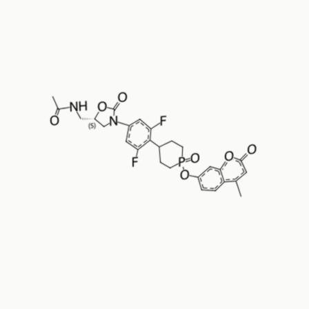 CC(=O)NC[C@H]1CN(c2cc(F)c(C3CCP(=O)(Oc4ccc5c(C)cc(=O)oc5c4)CC3)c(F)c2)C(=O)O1